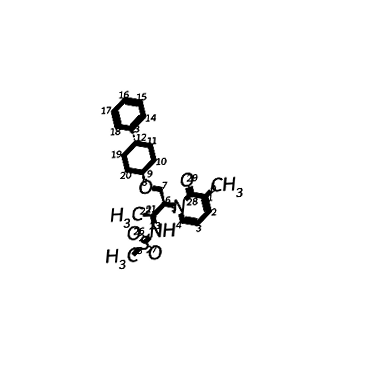 Cc1cccn([C@H](CO[C@H]2CC[C@@H](c3ccccc3)CC2)[C@H](C)NS(C)(=O)=O)c1=O